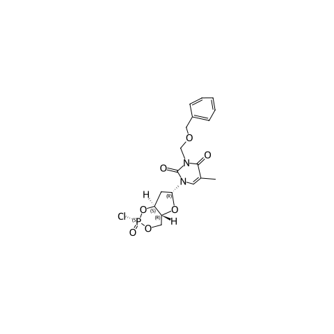 Cc1cn([C@H]2C[C@@H]3O[P@@](=O)(Cl)OC[C@H]3O2)c(=O)n(COCc2ccccc2)c1=O